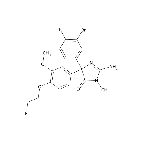 COc1cc(C2(c3ccc(F)c(Br)c3)N=C(N)N(C)C2=O)ccc1OCCF